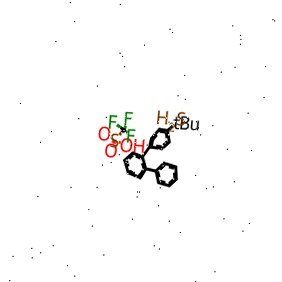 CC(C)(C)c1ccc(-c2ccccc2-c2ccccc2)cc1.O=S(=O)(O)C(F)(F)F.S